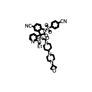 CCOc1ncccc1C1(NC(=O)N2CCC(N3CCN(C4COC4)CC3)CC2)C(=O)N(S(=O)(=O)c2ccc(C#N)cc2)c2ccc(C#N)cc21